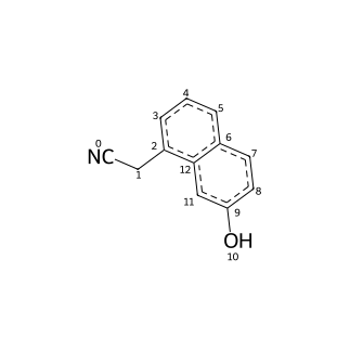 N#CCc1cccc2ccc(O)cc12